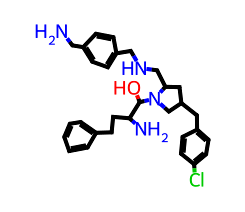 NCc1ccc(CNCC2CC(Cc3ccc(Cl)cc3)CN2C(O)C(N)CCc2ccccc2)cc1